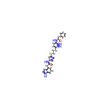 O=C(Cc1ccccc1)NC1=CC=C(CCCCc2nnc(NC(=O)Cc3cccc4[nH]ncc34)s2)NN1